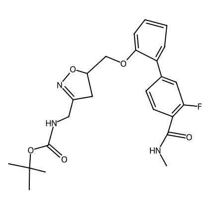 CNC(=O)c1ccc(-c2ccccc2OCC2CC(CNC(=O)OC(C)(C)C)=NO2)cc1F